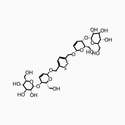 OC[C@H]1O[C@H](O[C@H]2C=C[C@@H](OCC3=CC=C(CO[C@@H]4C=C[C@H](O[C@H]5O[C@H](CO)[C@@H](O)[C@H](O)[C@H]5O)[C@@H](CO)O4)SS3)O[C@@H]2CO)[C@H](O)[C@@H](O)[C@@H]1O